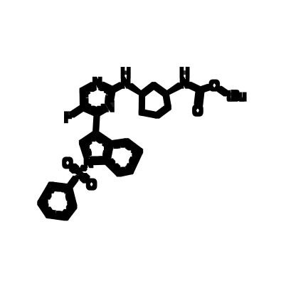 CC(C)(C)OC(=O)N[C@H]1CCC[C@@H](Nc2ncc(F)c(-c3cn(S(=O)(=O)c4ccccc4)c4ccccc34)n2)C1